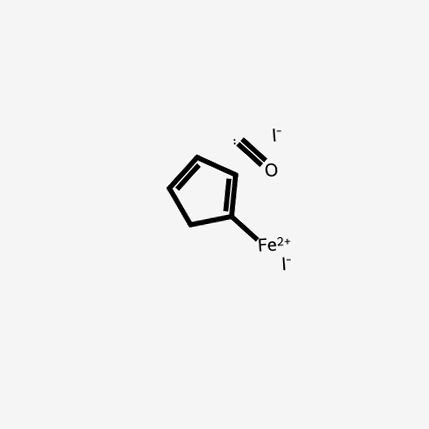 [C]=O.[Fe+2][C]1=CC=CC1.[I-].[I-]